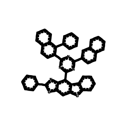 c1ccc(-c2nc3c(-c4nc(-c5ccc6ccccc6c5)nc(-c5ccc6ccccc6c5-c5ccccc5)n4)c4c(cc3o2)oc2ccccc24)cc1